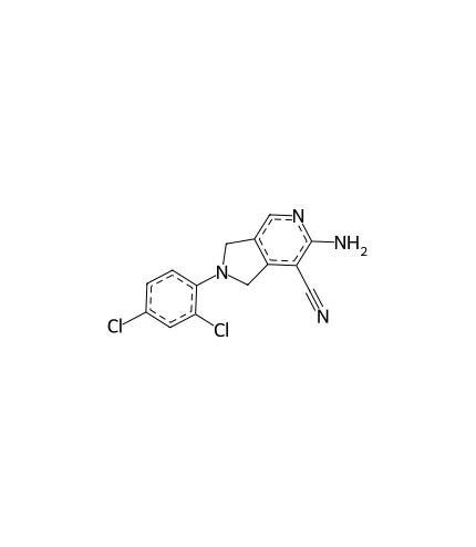 N#Cc1c(N)ncc2c1CN(c1ccc(Cl)cc1Cl)C2